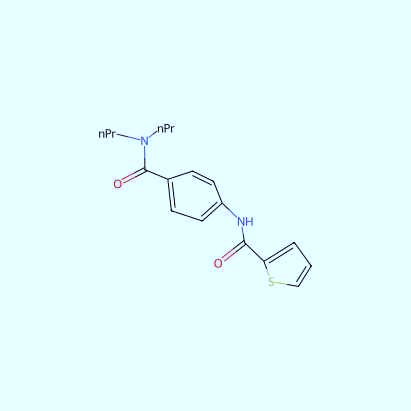 CCCN(CCC)C(=O)c1ccc(NC(=O)c2cccs2)cc1